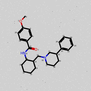 COc1ccc(C(=O)NC2CCCCC2CN2CCCC(c3ccccc3)C2)cc1